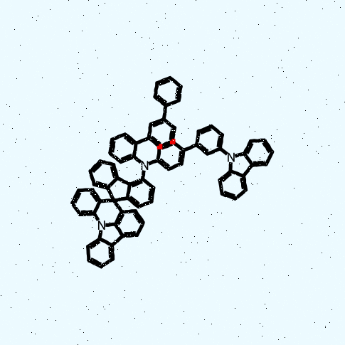 c1ccc(-c2cccc(-c3ccccc3N(c3ccc(-c4cccc(-n5c6ccccc6c6ccccc65)c4)cc3)c3cccc4c3-c3ccccc3C43c4ccccc4-n4c5ccccc5c5cccc3c54)c2)cc1